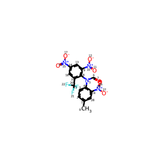 Cc1ccc(N(C=O)c2c([N+](=O)[O-])cc([N+](=O)[O-])cc2C(F)(F)F)c([N+](=O)[O-])c1